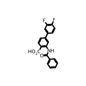 O=C(Nc1cc(-c2ccc(F)c(F)c2)ccc1C(=O)O)c1ccccc1